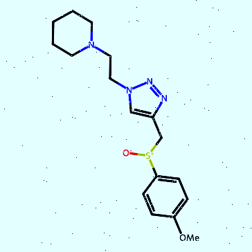 COc1ccc([S+]([O-])Cc2cn(CCN3CCCCC3)nn2)cc1